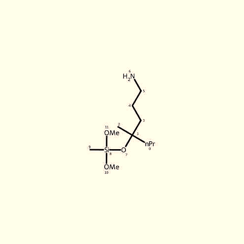 CCCC(C)(CCCN)O[Si](C)(OC)OC